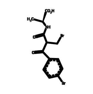 C[C@H](NC(=O)C(CBr)C(=O)c1ccc(Br)cc1)C(=O)O